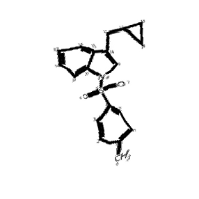 Cc1ccc(S(=O)(=O)n2cc(CC3CC3)c3ccccc32)cc1